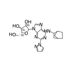 OC[C@H]1OC(n2cnc3c(NC4CC5CCC4C5)nc(-n4cccn4)nc32)[C@H](O)[C@@H]1O